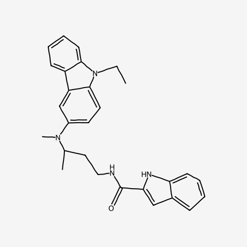 CCn1c2ccccc2c2cc(N(C)C(C)CCNC(=O)c3cc4ccccc4[nH]3)ccc21